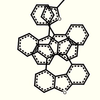 Cc1ccc(-c2c3ccccc3c(-c3cccc4oc5cccc(-c6c7ccccc7c(-c7ccccc7)c7ccccc67)c5c34)c3ccccc23)o1